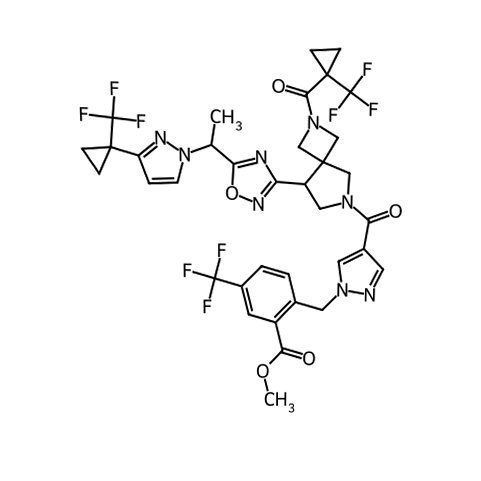 COC(=O)c1cc(C(F)(F)F)ccc1Cn1cc(C(=O)N2CC(c3noc(C(C)n4ccc(C5(C(F)(F)F)CC5)n4)n3)C3(C2)CN(C(=O)C2(C(F)(F)F)CC2)C3)cn1